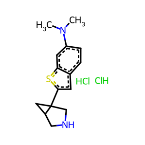 CN(C)c1ccc2cc(C34CNCC3C4)sc2c1.Cl.Cl